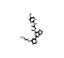 COc1cnc(NC(=O)CN(C)c2nc(-c3cc(OCCO)ccn3)nc3c2CCC3)nc1